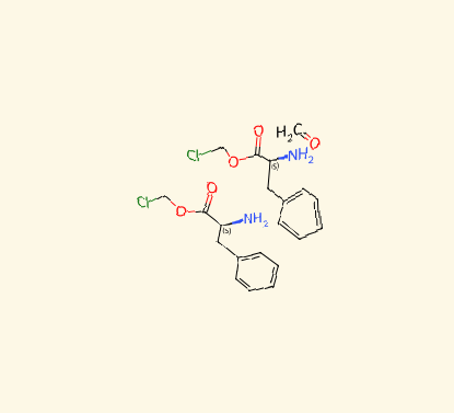 C=O.N[C@@H](Cc1ccccc1)C(=O)OCCl.N[C@@H](Cc1ccccc1)C(=O)OCCl